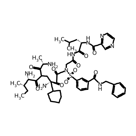 CC[C@H](C)[C@H](N)C(=O)C(C[C@@](N)(C(=O)C(=O)N(CC(=O)NC(=O)[C@H](CC(C)C)NC(=O)c1cnccn1)S(=O)(=O)c1cccc(C(=O)NCc2ccccc2)c1)C1CCCCC1)C(=O)[C@H](C)N